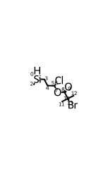 C[SiH](C)CCC(Cl)OC(=O)C(C)(C)Br